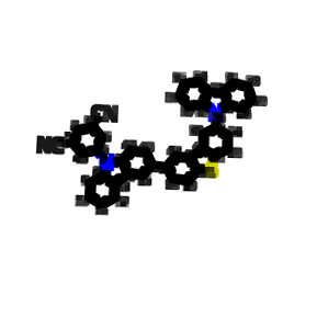 N#Cc1cc(C#N)cc(-n2c3ccccc3c3cc(-c4ccc5sc6ccc(-n7c8ccccc8c8ccccc87)cc6c5c4)ccc32)c1